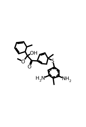 COC(O)(C(=O)C1=CCC(C)(Sc2cc(N)c(C)c(N)c2)C=C1)C1C=CC=CC1C